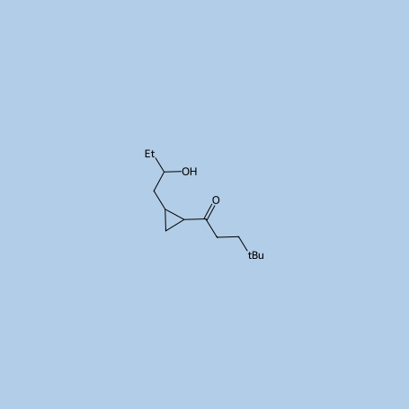 CCC(O)CC1CC1C(=O)CCC(C)(C)C